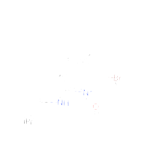 CC(C)CNc1cccc(Br)[n+]1[O-]